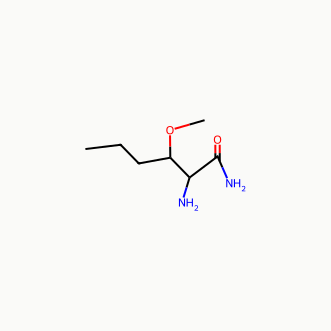 CCCC(OC)C(N)C(N)=O